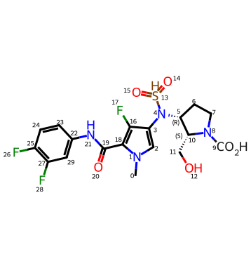 Cn1cc(N([C@@H]2CCN(C(=O)O)[C@@H]2CO)[SH](=O)=O)c(F)c1C(=O)Nc1ccc(F)c(F)c1